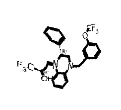 O[C@H](CN1c2ccccc2N(Cc2cccc(OC(F)(F)F)c2)C[C@H]1c1ccccc1)C(F)(F)F